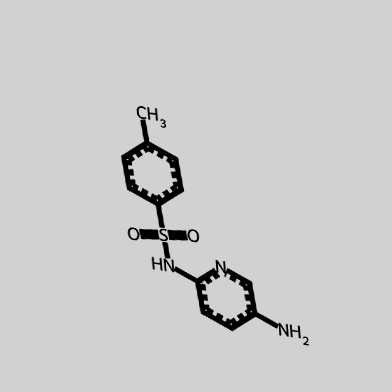 Cc1ccc(S(=O)(=O)Nc2ccc(N)cn2)cc1